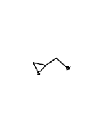 BrCC1CS1